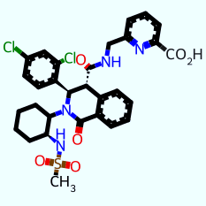 CS(=O)(=O)N[C@H]1CCCCC1N1C(=O)c2ccccc2[C@@H](C(=O)NCc2cccc(C(=O)O)n2)[C@@H]1c1ccc(Cl)cc1Cl